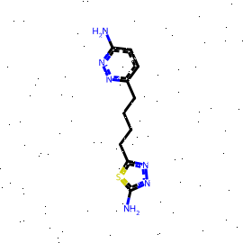 Nc1ccc(CCCCc2nnc(N)s2)nn1